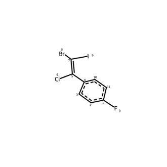 Fc1ccc(C(Cl)=C(Br)I)cc1